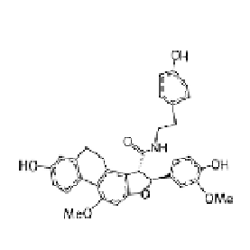 COc1cc([C@H]2Oc3cc(OC)c4c(c3[C@@H]2C(=O)NCCc2ccc(O)cc2)CCc2cc(O)ccc2-4)ccc1O